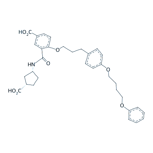 O=C(O)c1ccc(OCCCc2ccc(OCCCCOc3ccccc3)cc2)c(C(=O)N[C@@H]2CC[C@H](C(=O)O)C2)c1